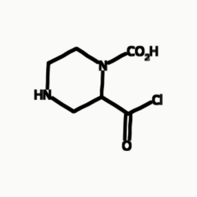 O=C(Cl)C1CNCCN1C(=O)O